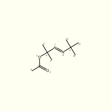 CC(=O)OC(C)(C)/N=N/C(C)(C)C